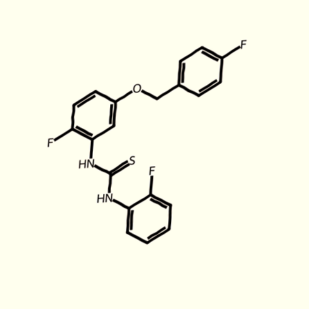 Fc1ccc(COc2ccc(F)c(NC(=S)Nc3ccccc3F)c2)cc1